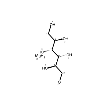 OC[C@@H](O)[C@@H](O)[C@H](O)[C@H](O)CO.[MgH2]